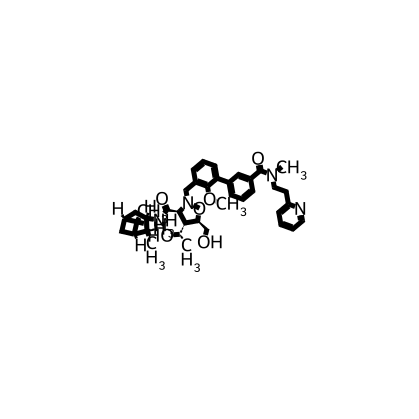 COc1c(CN2O[C@@H](CO)[C@H]([C@H](C)O)[C@H]2C(=O)N[C@H]2C[C@H]3C[C@@H]([C@@H]2C)C3(C)C)cccc1-c1cccc(C(=O)N(C)CCc2ccccn2)c1